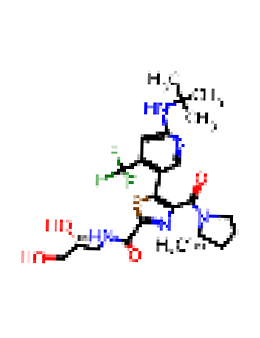 C[C@H]1CCCN1C(=O)c1nc(C(=O)NC[C@@H](O)CO)sc1-c1cnc(NC(C)(C)C)cc1C(F)(F)F